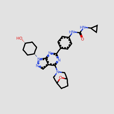 O=C(Nc1ccc(-c2nc(N3CC4CCC(C3)O4)c3cnn([C@H]4CC[C@@H](O)CC4)c3n2)cc1)NC1CC1